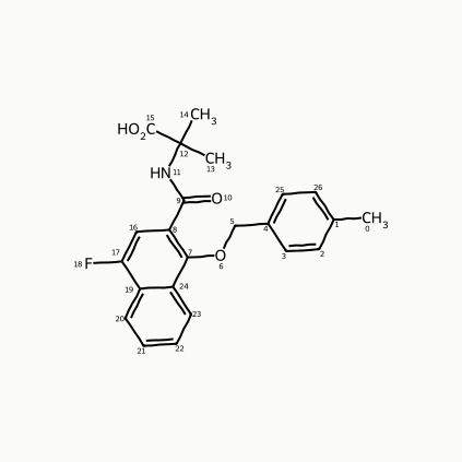 Cc1ccc(COc2c(C(=O)NC(C)(C)C(=O)O)cc(F)c3ccccc23)cc1